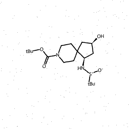 CC(C)(C)OC(=O)N1CCC2(CC1)C[C@@H](O)C[C@H]2N[S+]([O-])C(C)(C)C